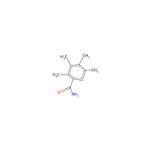 Cc1cc(C(N)=O)c(C)c(C)c1C